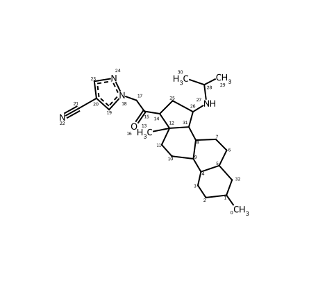 CC1CCC2C(CCC3C2CCC2(C)C(C(=O)Cn4cc(C#N)cn4)CC(NC(C)C)C32)C1